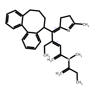 C=C(/C=C(CC)/C(=C1/CCC(C)=N1)C1CCCc2ccccc2-c2ccccc21)N(C)C(=C)CC